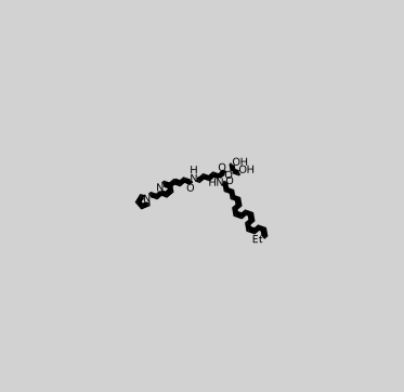 CC/C=C\C/C=C\C/C=C\C/C=C\C/C=C\CCCC(=O)NC(CCCCNC(=O)C/C=C/c1ccc(CCN2CCCC2)nc1)C(=O)OC(CO)CO